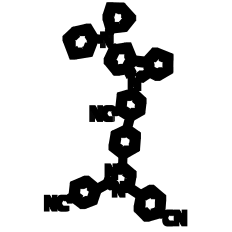 N#Cc1ccc(-c2cc(-c3ccc(-c4ccc(-n5c6ccccc6c6cc(N(c7ccccc7)c7ccccc7)ccc65)cc4C#N)cc3)nc(-c3ccc(C#N)cc3)n2)cc1